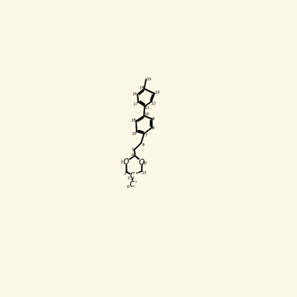 [CH2-][C+]1COC(CCc2ccc(-c3ccc(C)cc3)cc2)OC1